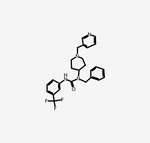 O=C(Nc1cccc(C(F)(F)F)c1)N(Cc1ccccc1)C1CCN(Cc2cccnc2)CC1